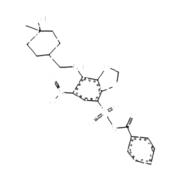 CC1(O)CCC(CNc2c([N+](=O)[O-])cc(S(=O)(=O)NC(=O)c3ccccc3)c3c2OCO3)CC1